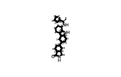 C[C@@H](NC1CCCc2c1[nH]c1ccc(-c3ccc4c(c3)CNC4=O)cc21)c1cccs1